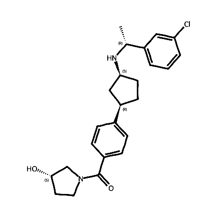 C[C@@H](N[C@H]1CC[C@@H](c2ccc(C(=O)N3CC[C@H](O)C3)cc2)C1)c1cccc(Cl)c1